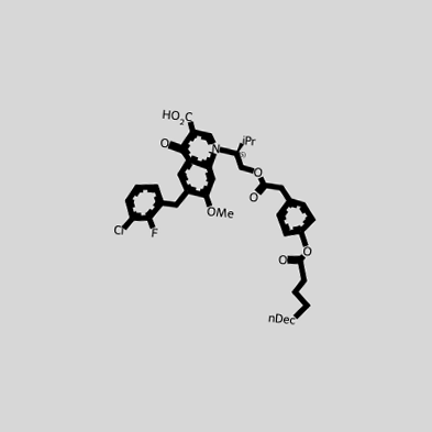 CCCCCCCCCCCCCC(=O)Oc1ccc(CC(=O)OC[C@H](C(C)C)n2cc(C(=O)O)c(=O)c3cc(Cc4cccc(Cl)c4F)c(OC)cc32)cc1